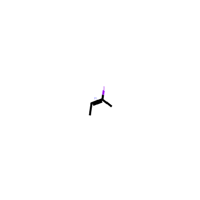 C/C=C(\C)I